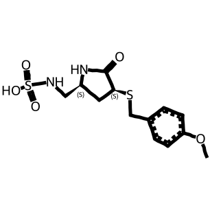 COc1ccc(CS[C@H]2C[C@@H](CNS(=O)(=O)O)NC2=O)cc1